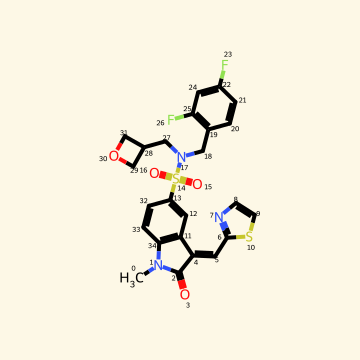 CN1C(=O)/C(=C/c2nccs2)c2cc(S(=O)(=O)N(Cc3ccc(F)cc3F)CC3COC3)ccc21